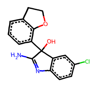 NC1=Nc2ccc(Cl)cc2C1(O)c1cccc2c1OCC2